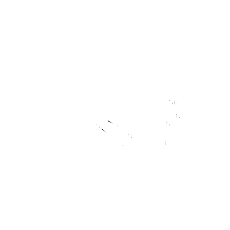 N[C@]1(SC=S)C(=O)N2C(C(=O)O)=C(c3c[nH]nn3)CS[C@H]21